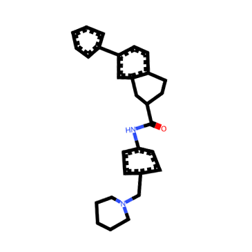 O=C(Nc1ccc(CN2CCCCC2)cc1)C1CCc2ccc(-c3ccccc3)cc2C1